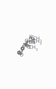 CC/C(=C(\C=N/C)CNC(=O)c1cn(Cc2ccc(Cn3ccccc3=O)cc2)nc1COC)C(F)(F)F